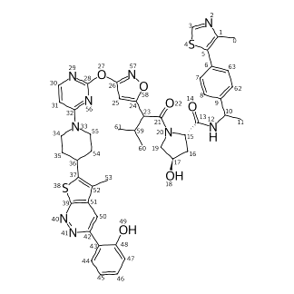 Cc1ncsc1-c1ccc(C(C)NC(=O)[C@@H]2C[C@@H](O)CN2C(=O)C(c2cc(Oc3nccc(N4CCC(c5sc6nnc(-c7ccccc7O)cc6c5C)CC4)n3)no2)C(C)C)cc1